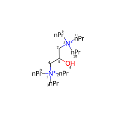 CCC[N+](CCC)(CCC)CC(O)C[N+](CCC)(CCC)CCC